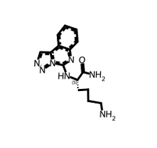 NCCCC[C@H](Nc1nc2ccccc2c2cnnn12)C(N)=O